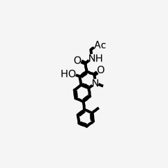 CC(=O)CNC(=O)c1c(O)c2ccc(-c3ccccc3C)cc2n(C)c1=O